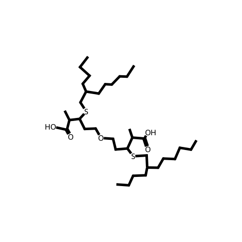 CCCCCCC(CCCC)CSC(CCOCCC(SCC(CCCC)CCCCCC)C(C)C(=O)O)C(C)C(=O)O